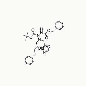 CC(C)(C)OC(=O)N(NC(=O)OCc1ccccc1)N(Cc1cnco1)C[C@@H](O)CCc1ccccc1